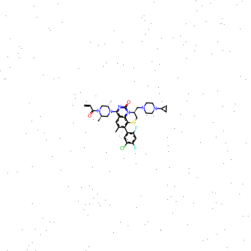 C=CC(=O)N1C[C@H](C)N(c2nc(=O)n3c4c(c(-c5cc(Cl)c(F)cc5F)c(C)cc24)SC[C@@H]3CN2CCN(C3CC3)CC2)C[C@H]1C